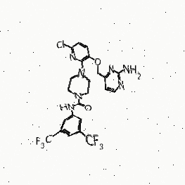 Nc1nccc(COc2ccc(Cl)nc2N2CCN(C(=O)Nc3cc(C(F)(F)F)cc(C(F)(F)F)c3)CC2)n1